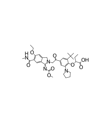 CCOc1cc2c(cc1C(=O)NC)C(=NC(=O)OC)N(CC(=O)c1cc(N3CCCC3)c(OC(CC)C(=O)O)c(C(C)(C)C)c1)C2